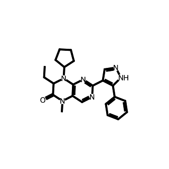 CCC1C(=O)N(C)c2cnc(-c3cn[nH]c3-c3ccccc3)nc2N1C1CCCC1